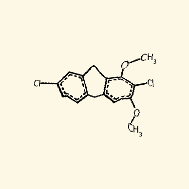 COc1cc2c(c(OC)c1Cl)Cc1cc(Cl)ccc1-2